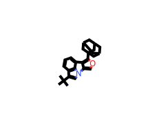 CC(C)(C)c1cn2c3coc(C45CC6CC(CC(C6)C4)C5)c3c3cccc1c32